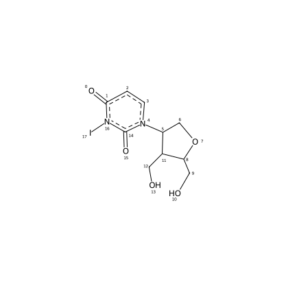 O=c1ccn(C2COC(CO)C2CO)c(=O)n1I